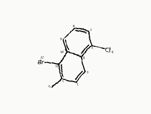 Cc1ccc2c(Cl)cccc2c1Br